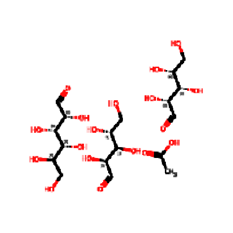 CC(=O)O.O=C[C@@H](O)[C@H](O)[C@H](O)CO.O=C[C@H](O)[C@@H](O)[C@H](O)CO.O=C[C@H](O)[C@@H](O)[C@H](O)[C@H](O)CO